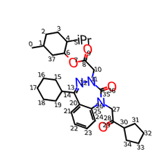 CC1CCC(C(C)C)C(OC(=O)CN2N=C(C3CCCCC3)c3ccccc3N(CC(=O)C3CCCC3)C2=O)C1